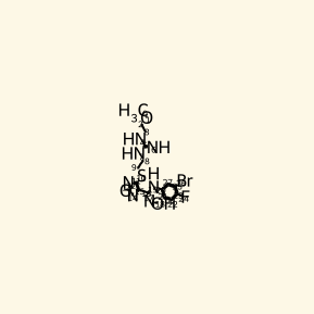 COCCNC(=N)NCCSc1nonc1/C(=N/O)Nc1ccc(F)c(Br)c1